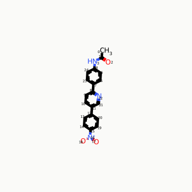 CC(=O)Nc1ccc(-c2ccc(-c3ccc([N+](=O)[O-])cc3)cn2)cc1